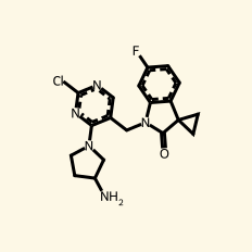 NC1CCN(c2nc(Cl)ncc2CN2C(=O)C3(CC3)c3ccc(F)cc32)C1